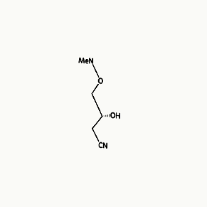 CNOC[C@H](O)CC#N